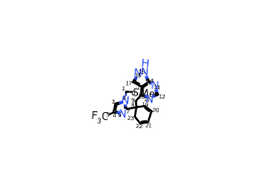 CSCn1cc(C(F)(F)F)nc1C1(Cc2ncnc3[nH]ncc23)C=CC=CC1